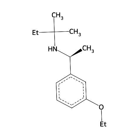 CCOc1cccc([C@H](C)NC(C)(C)CC)c1